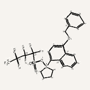 O=S(=O)(OS1(c2ccc(OCc3ccccc3)c3ccccc23)CCCC1)C(F)(F)C(F)(F)C(F)(F)C(F)(F)F